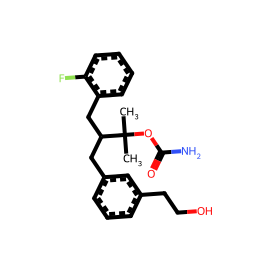 CC(C)(OC(N)=O)C(Cc1cccc(CCO)c1)Cc1ccccc1F